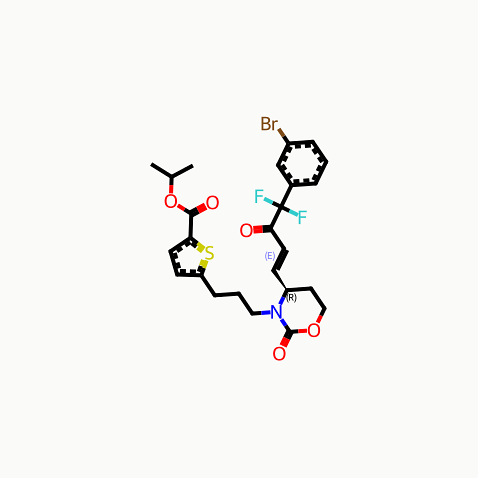 CC(C)OC(=O)c1ccc(CCCN2C(=O)OCC[C@@H]2/C=C/C(=O)C(F)(F)c2cccc(Br)c2)s1